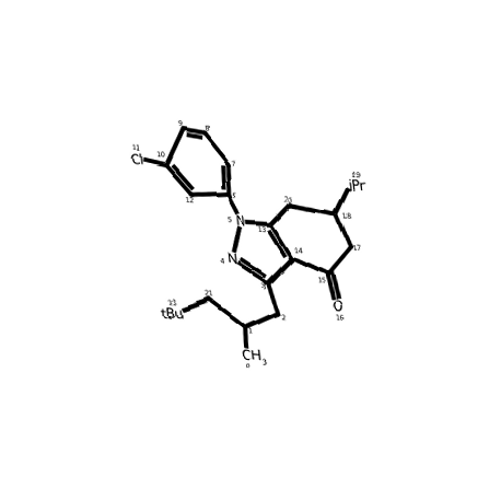 CC(Cc1nn(-c2cccc(Cl)c2)c2c1C(=O)CC(C(C)C)C2)CC(C)(C)C